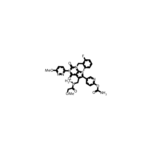 COCC(=O)N(C)Cc1c(-c2ccc(OC(N)=O)nc2)sc2c1c(=O)n(-c1ccc(OC)nn1)c(=O)n2Cc1c(F)cccc1F